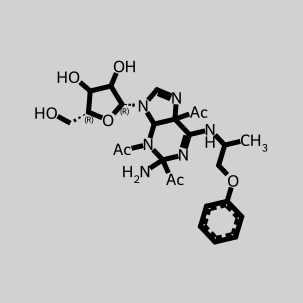 CC(=O)N1C2N([C@@H]3O[C@H](CO)C(O)C3O)C=NC2(C(C)=O)C(NC(C)COc2ccccc2)=NC1(N)C(C)=O